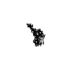 CO[C@]12C=C[C@](C)(O1)[C@@H](OC(=O)/C=C/c1cn(C)cn1)C[C@H]1C(C)=CC[C@H](C(C)C)[C@H]1/C=C\2CO[C@@H]1OC[C@@H](O)[C@@H](O)[C@@H]1O